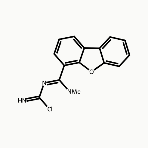 CN/C(=N\C(=N)Cl)c1cccc2c1oc1ccccc12